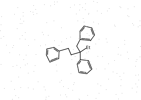 [CH2]CC(CCc1ccccc1)(Cc1ccccc1)c1ccccc1